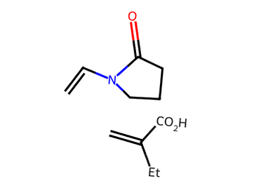 C=C(CC)C(=O)O.C=CN1CCCC1=O